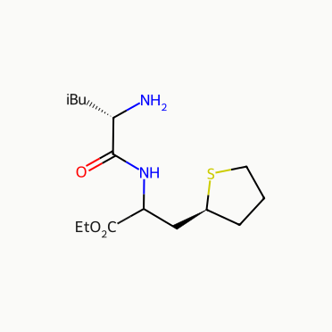 CCOC(=O)C(C[C@@H]1CCCS1)NC(=O)[C@@H](N)C(C)CC